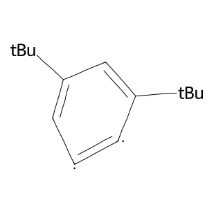 CC(C)(C)c1[c][c]cc(C(C)(C)C)c1